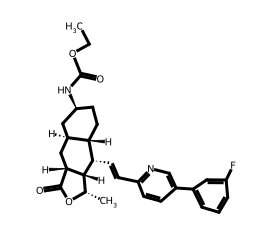 CCOC(=O)N[C@H]1CC[C@H]2[C@H](C1)C[C@H]1C(=O)O[C@@H](C)[C@H]1[C@H]2/C=C/c1ccc(-c2cccc(F)c2)cn1